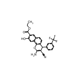 CCOC(=O)c1cc2ccc3c(c2cc1O)OC(N)=C(C#N)C3c1cccc(C(F)(F)F)c1